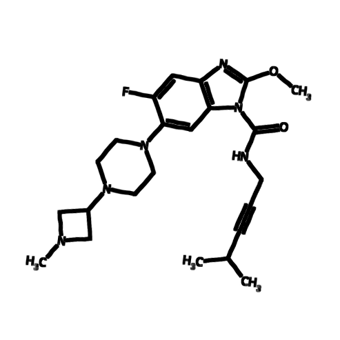 COc1nc2cc(F)c(N3CCN(C4CN(C)C4)CC3)cc2n1C(=O)NCC#CC(C)C